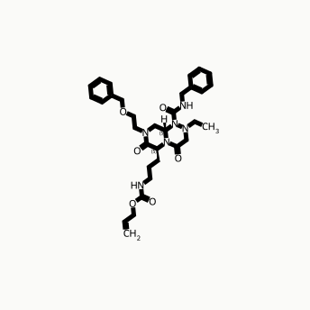 C=CCOC(=O)NCCC[C@H]1C(=O)N(CCOCc2ccccc2)C[C@H]2N1C(=O)CN(CC)N2C(=O)NCc1ccccc1